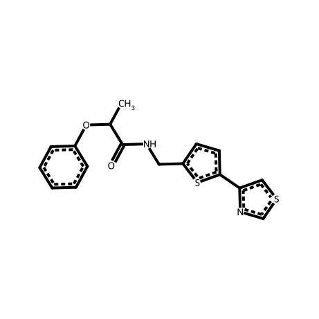 CC(Oc1ccccc1)C(=O)NCc1ccc(-c2cscn2)s1